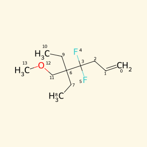 C=CCC(F)(F)C(CC)(CC)COC